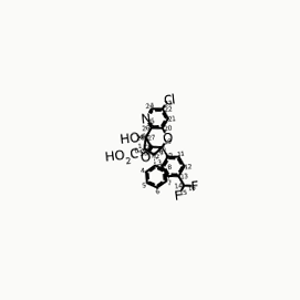 O=C(O)[C@H]1[C@@H](c2ccccc2)[C@@]2(c3ccc(C(F)F)cc3)Oc3cc(Cl)cnc3[C@@]1(O)C2=O